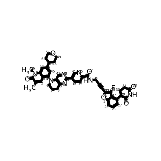 Cc1cc2c(N3CCCc4nc(-c5ccc(C(=O)NCC#Cc6oc7cccc(C8CCC(=O)NC8=O)c7c6F)nc5)ncc43)cc(C3CCOCC3)cc2n(C)c1=O